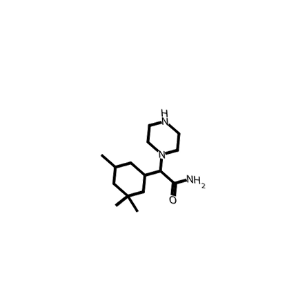 CC1CC(C(C(N)=O)N2CCNCC2)CC(C)(C)C1